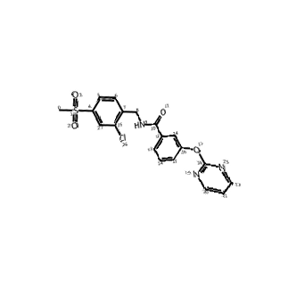 CS(=O)(=O)c1ccc(CNC(=O)c2cccc(Oc3ncccn3)c2)c(Cl)c1